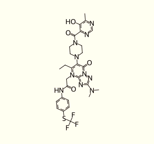 CCc1c(N2CCN(C(=O)c3ncnc(C)c3O)CC2)c(=O)n2nc(N(C)C)nc2n1CC(=O)Nc1ccc(SC(F)(F)F)cc1